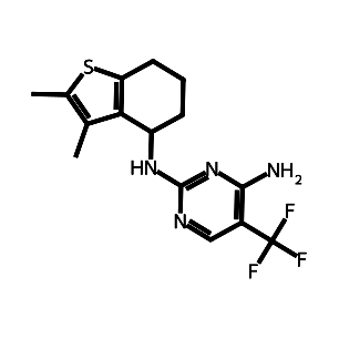 Cc1sc2c(c1C)C(Nc1ncc(C(F)(F)F)c(N)n1)CCC2